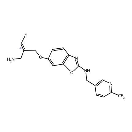 NC/C(=C/F)COc1ccc2nc(NCc3ccc(C(F)(F)F)nc3)oc2c1